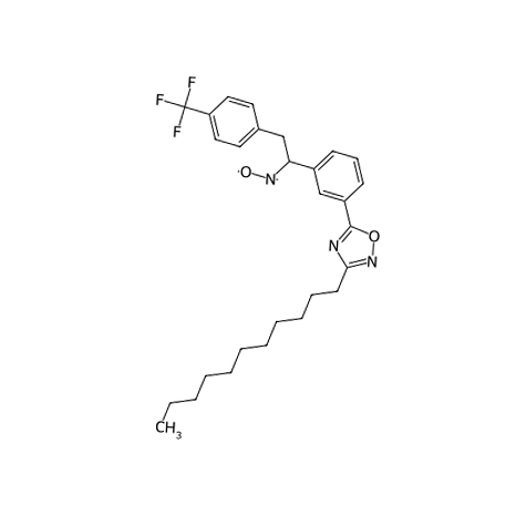 CCCCCCCCCCCc1noc(-c2cccc(C(Cc3ccc(C(F)(F)F)cc3)[N][O])c2)n1